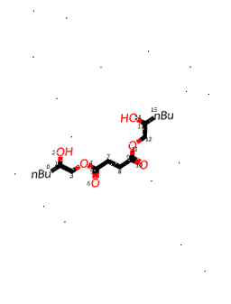 CCCCC(O)COC(=O)CCC(=O)OCC(O)CCCC